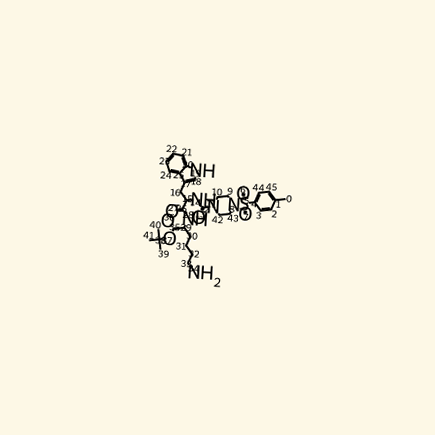 Cc1ccc(S(=O)(=O)N2CCN(C(=O)NC(Cc3c[nH]c4ccccc34)C(=O)NC(CCCCN)C(=O)OC(C)(C)C)CC2)cc1